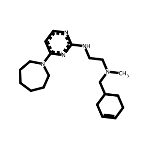 CN(CCNc1nccc(N2CCCCCC2)n1)CC1CC=CCC1